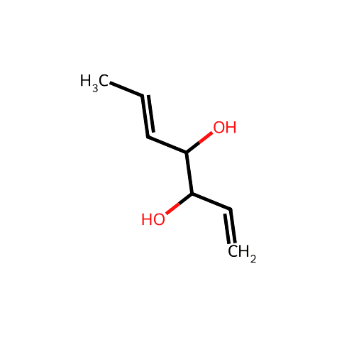 C=CC(O)C(O)/C=C/C